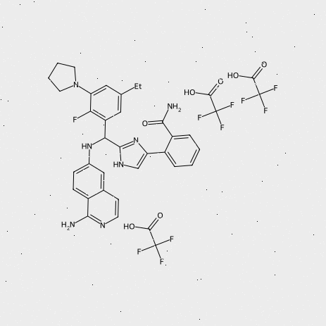 CCc1cc(C(Nc2ccc3c(N)nccc3c2)c2nc(-c3ccccc3C(N)=O)c[nH]2)c(F)c(N2CCCC2)c1.O=C(O)C(F)(F)F.O=C(O)C(F)(F)F.O=C(O)C(F)(F)F